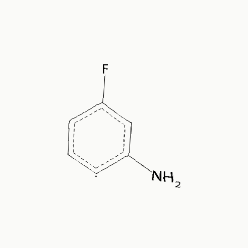 Nc1[c]ccc(F)c1